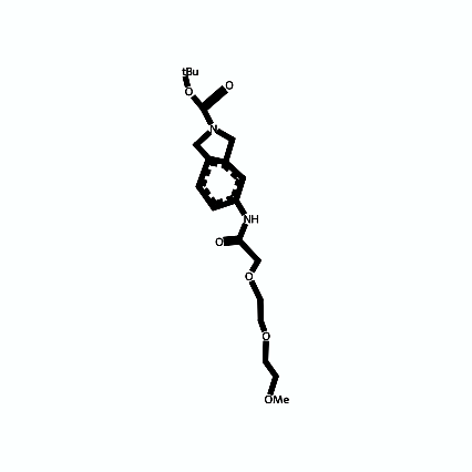 COCCOCCOCC(=O)Nc1ccc2c(c1)CN(C(=O)OC(C)(C)C)C2